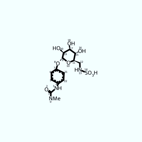 CNC(=O)Nc1ccc(O[C@H]2O[C@H](CNS(=O)(=O)O)[C@@H](O)[C@H](O)[C@@H]2O)cc1